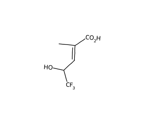 CC(=CC(O)C(F)(F)F)C(=O)O